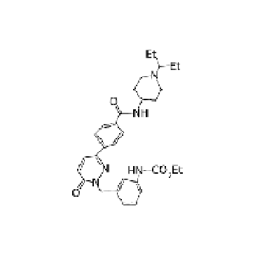 CCOC(=O)Nc1cccc(Cn2nc(-c3ccc(C(=O)NC4CCN(C(CC)CC)CC4)cc3)ccc2=O)c1